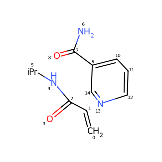 C=CC(=O)NC(C)C.NC(=O)c1cccnc1